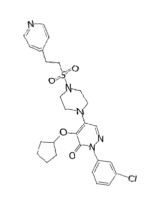 O=c1c(OC2CCCC2)c(N2CCN(S(=O)(=O)CCc3ccncc3)CC2)cnn1-c1cccc(Cl)c1